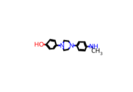 CNc1ccc(N2CCN(c3ccc(O)cc3)CC2)cc1